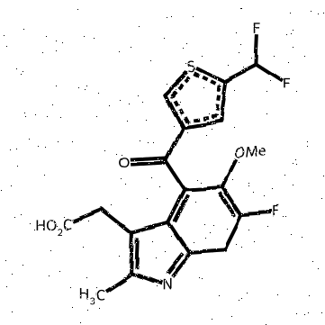 COC1=C(F)CC2=NC(C)=C(CC(=O)O)C2=C1C(=O)c1csc(C(F)F)c1